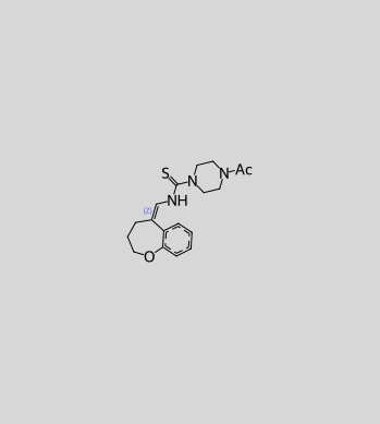 CC(=O)N1CCN(C(=S)N/C=C2/CCCOc3ccccc32)CC1